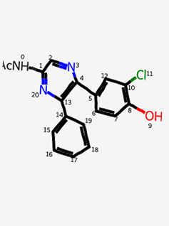 CC(=O)Nc1cnc(-c2ccc(O)c(Cl)c2)c(-c2ccccc2)n1